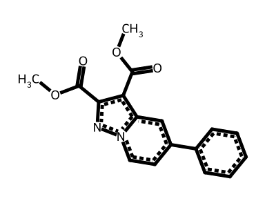 COC(=O)c1nn2ccc(-c3ccccc3)cc2c1C(=O)OC